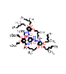 CCCCCCCCCCCCOc1cc(C(=O)Nc2cc(NC(=O)Nc3cc(OCC[C@@H](C)CCCC(C)C)c(OCC[C@@H](C)CCCC(C)C)c(OCC[C@@H](C)CCCC(C)C)c3)cc(NC(=O)Nc3cc(OCC[C@@H](C)CCCC(C)C)c(OCC[C@@H](C)CCCC(C)C)c(OCC[C@@H](C)CCCC(C)C)c3)c2)cc(OCCCCCCCCCCCC)c1OCCCCCCCCCCCC